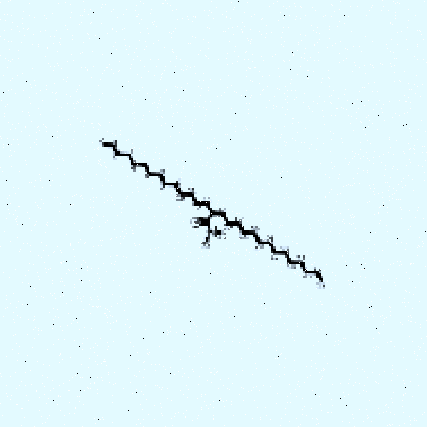 CCCCCCCCCCCCCCC(CCCCCCCCCCCCCC)C(=O)N(C)C